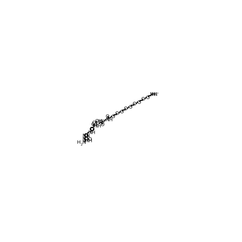 [N-]=[N+]=NCCOCCOCCOCCOCCOCCOCCOCCOCCOCCC(=O)NCCNC(=O)CC[C@H](NC(=O)c1ccc(NCc2cnc3nc(N)[nH]c(=O)c3n2)cc1)C(=O)O